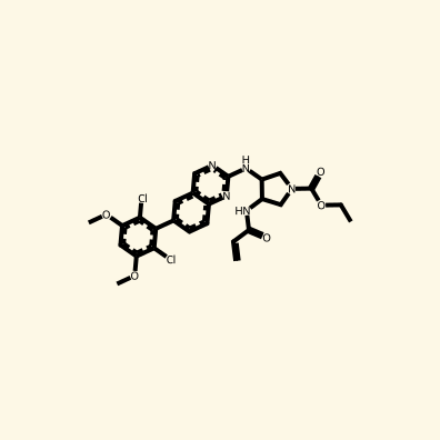 C=CC(=O)NC1CN(C(=O)OCC)CC1Nc1ncc2cc(-c3c(Cl)c(OC)cc(OC)c3Cl)ccc2n1